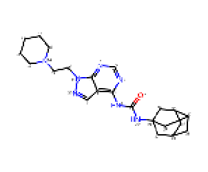 O=C(Nc1ncnc2c1cnn2CCN1CCCCC1)NC12CC3CC(C1)C(C3)C2